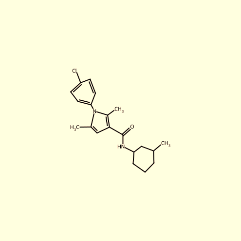 Cc1cc(C(=O)NC2CCCC(C)C2)c(C)n1-c1ccc(Cl)cc1